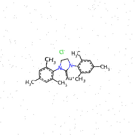 Cc1cc(C)c(N2CCN(c3c(C)cc(C)cc3C)[C]2=[Au+])c(C)c1.[Cl-]